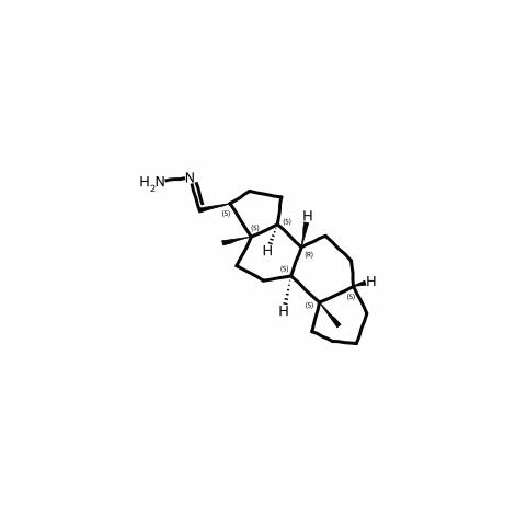 C[C@]12CCCC[C@H]1CC[C@@H]1[C@@H]2CC[C@]2(C)[C@@H](C=NN)CC[C@@H]12